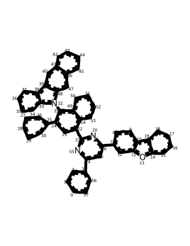 c1ccc(-c2cc(-c3ccc4c(c3)oc3ccccc34)nc(-c3cc(-c4ccccc4)c(-n4c5ccccc5c5cc6ccccc6cc54)c4ccccc34)n2)cc1